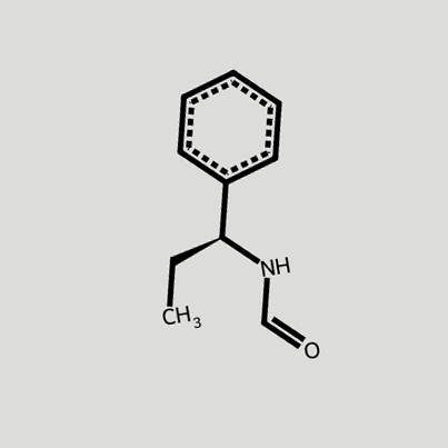 CC[C@H](NC=O)c1ccccc1